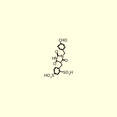 O=Cc1ccc(CN2C(=O)NC(=O)C(Cc3ccc(S(=O)(=O)O)cc3S(=O)(=O)O)C2=O)cc1